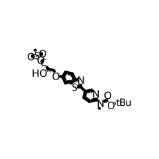 CN(C(=O)OC(C)(C)C)c1ccc(-c2nc3ccc(OC[C@@H](O)COS(C)(=O)=O)cc3s2)cn1